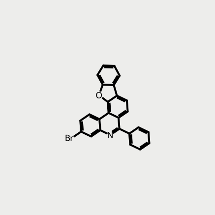 Brc1ccc2c(c1)nc(-c1ccccc1)c1ccc3c4ccccc4oc3c12